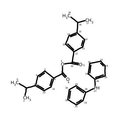 CC(C)c1ccc(C(=O)OC(=O)c2ccc(C(C)C)cc2)cc1.c1ccc(Pc2ccccc2)cc1